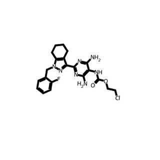 Nc1nc(-c2nn(Cc3ccccc3F)c3c2CCCC3)nc(N)c1NC(=O)OCCCl